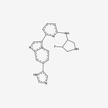 FC1CNCC1Nc1cccc(-c2cnc3cc(-c4cnc[nH]4)ccn23)n1